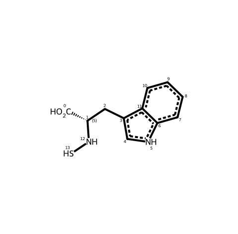 O=C(O)[C@H](Cc1c[nH]c2ccccc12)NS